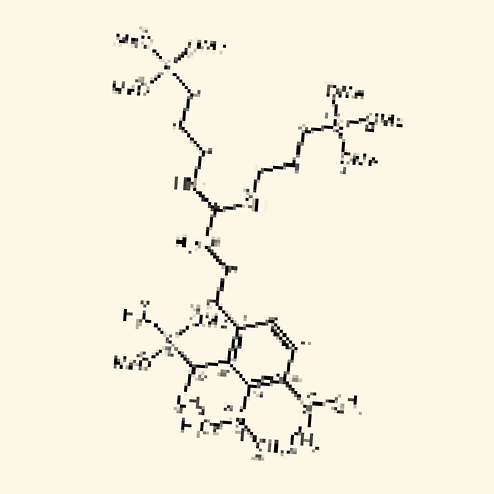 CO[Si](CCCNC(NCCC[Si](OC)(OC)OC)[SiH2]CCc1ccc([SiH](C)C)c([SiH](C)C)c1C(C)[Si](C)(OC)OC)(OC)OC